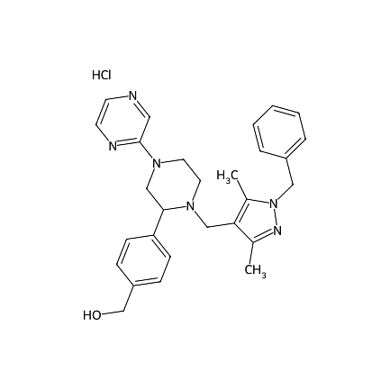 Cc1nn(Cc2ccccc2)c(C)c1CN1CCN(c2cnccn2)CC1c1ccc(CO)cc1.Cl